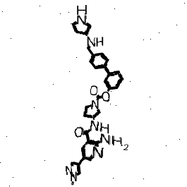 Cn1cc(-c2cnc(N)c(C(=O)N[C@@H]3CCN(C(=O)Oc4cccc(-c5ccc(CN[C@@H]6CCNC6)cc5)c4)C3)c2)cn1